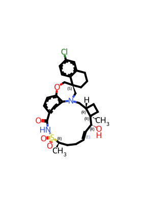 C[C@@H]1CC/C=C/[C@@H](O)[C@]2(C)CC[C@H]2CN2C[C@@]3(CCCc4cc(Cl)ccc43)COc3ccc(cc32)C(=O)NS1(=O)=O